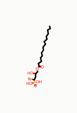 CCCCCCCCCCCCCCCC(=O)OCC(O)CC(Br)P(=O)(O)O